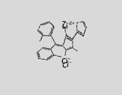 CC1=C(C)C(=C(c2ccccc2C)c2ccccc2C)[C]([Zr+2])=C1C1=CC=CC1.[Cl-].[Cl-]